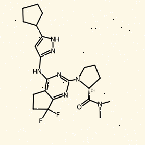 CN(C)C(=O)[C@@H]1CCCN1c1nc(Nc2cc(C3CCCC3)[nH]n2)c2c(n1)C(F)(F)CC2